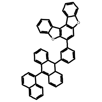 C1=CC2=C(c3cccc4ccccc34)c3ccccc3C(c3cccc(-c4cc5oc6ccccc6c5c5c4oc4ccccc45)c3)C2C=C1